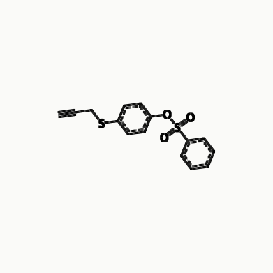 C#CCSc1ccc(OS(=O)(=O)c2ccccc2)cc1